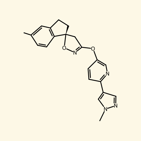 Cc1ccc2c(c1)CC[C@]21CC(Oc2ccc(-c3cnn(C)c3)nc2)=NO1